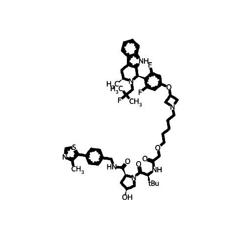 Cc1ncsc1-c1ccc(CNC(=O)[C@@H]2C[C@@H](O)CN2C(=O)[C@@H](NC(=O)COCCCCCN2CC(Oc3cc(F)c([C@@H]4c5[nH]c6ccccc6c5C[C@@H](C)N4CC(C)(C)F)c(F)c3)C2)C(C)(C)C)cc1